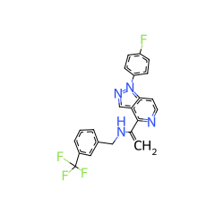 C=C(NCc1cccc(C(F)(F)F)c1)c1nccc2c1cnn2-c1ccc(F)cc1